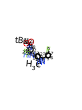 Cn1nc(-c2cccc(F)c2)c2ccc(NC3CCN(C(=O)OC(C)(C)C)CC3(F)F)cc21